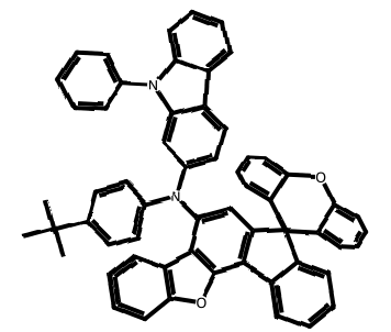 CC(C)(C)c1ccc(N(c2ccc3c4ccccc4n(-c4ccccc4)c3c2)c2cc3c(c4oc5c(c24)C=C=C=C5)-c2ccccc2C32c3ccccc3Oc3ccccc32)cc1